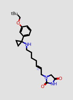 CC(C)(C)COc1cccc(C2(NCCCC/C=C/CN3CC(=O)NC3=O)CC2)c1